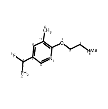 CNCCOc1ncc(C(F)P)cc1C